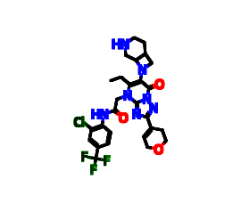 CCc1c(N2CC3CCNCC32)c(=O)n2nc(C3=CCOCC3)nc2n1CC(=O)Nc1ccc(C(F)(F)F)cc1Cl